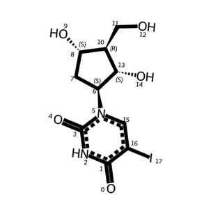 O=c1[nH]c(=O)n([C@H]2C[C@H](O)[C@@H](CO)[C@@H]2O)cc1I